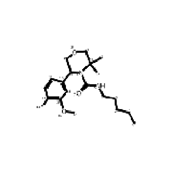 CCCCCNC(=O)N1C(c2ccc(F)c(OC)c2)COCC1(C)C